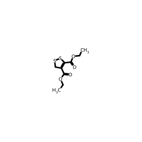 CCOC(=O)C1=C(C(=O)OCC)SSC1